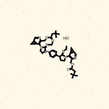 CCN=C1C(c2ccc([C@H]3CCN(c4c(COC(=O)CC(C)(C)C)ncc5c4C5)C3=NCC)cc2)CCN1c1c(COC(=O)CC(C)(C)C)ncc2c1C2.Cl